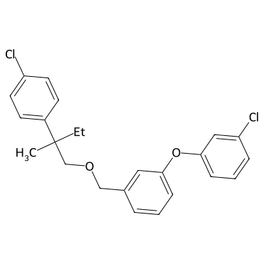 CCC(C)(COCc1cccc(Oc2cccc(Cl)c2)c1)c1ccc(Cl)cc1